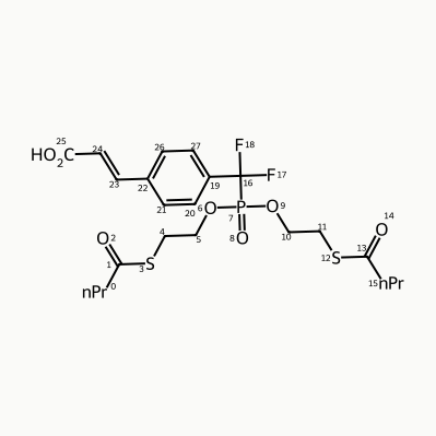 CCCC(=O)SCCOP(=O)(OCCSC(=O)CCC)C(F)(F)c1ccc(/C=C/C(=O)O)cc1